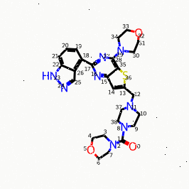 O=C(N1CCOCC1)N1CCN(Cc2cc3nc(-c4cccc5[nH]ncc45)nc(N4CCOCC4)c3s2)CC1